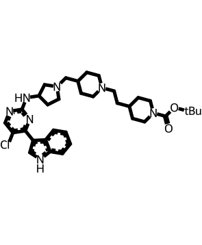 CC(C)(C)OC(=O)N1CCC(CCN2CCC(CN3CCC(Nc4ncc(Cl)c(-c5c[nH]c6ccccc56)n4)C3)CC2)CC1